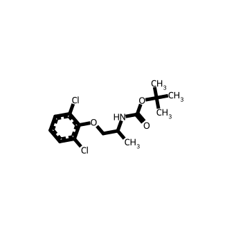 CC(COc1c(Cl)cccc1Cl)NC(=O)OC(C)(C)C